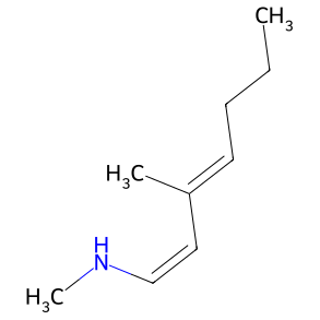 CCC/C=C(C)/C=C\NC